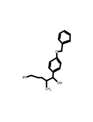 CC(C)CCCC(C)C(O)c1ccc(OCc2ccccc2)cc1